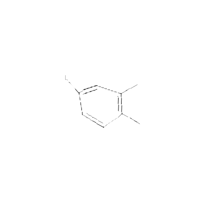 Cc1ccc(I)cc1C